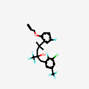 C=CCOc1ccc(F)cc1C(C)(C)CC(O)(Cc1cc(C(F)(F)F)cc(Cl)c1F)C(F)(F)F